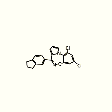 Clc1cc(Cl)c2c(c1)CN=C(c1ccc3c(c1)CCC3)c1cccn1-2